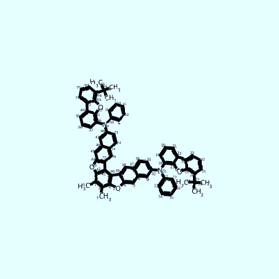 Cc1c(C)c2oc3cc4cc(N(c5ccccc5)c5cccc6c5oc5c(C(C)(C)C)cccc56)ccc4cc3c2c2c1oc1cc3cc(N(c4ccccc4)c4cccc5c4oc4c(C(C)(C)C)cccc45)ccc3cc12